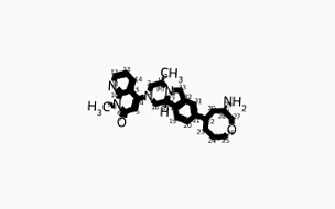 C[C@@H]1CN(c2cc(=O)n(C)c3ncccc23)C[C@@H]2c3ccc(C4CCCOC[C@H](N)C4)cc3CN12